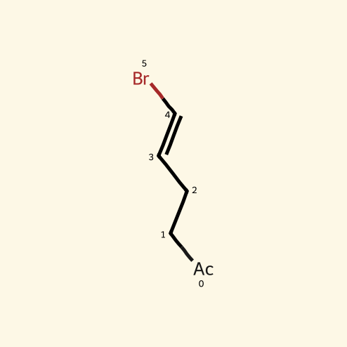 CC(=O)CCC=CBr